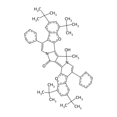 CC(C)(C)c1cc(C(C)(C)C)c2oc3c(c2c1)C(c1ccccc1)=CN1C(=O)C2=C4c5oc6c(C(C)(C)C)cc(C(C)(C)C)cc6c5C(c5ccccc5)=CN4C(C)(O)C2=C31